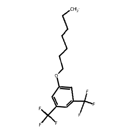 [CH2]CCCCCCOc1cc(C(F)(F)F)cc(C(F)(F)F)c1